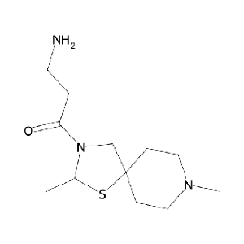 CC1SC2(CCN(C)CC2)CN1C(=O)CCN